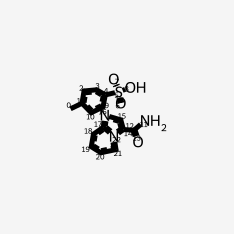 Cc1ccc(S(=O)(=O)O)cc1.NC(=O)c1cnc2ccccn12